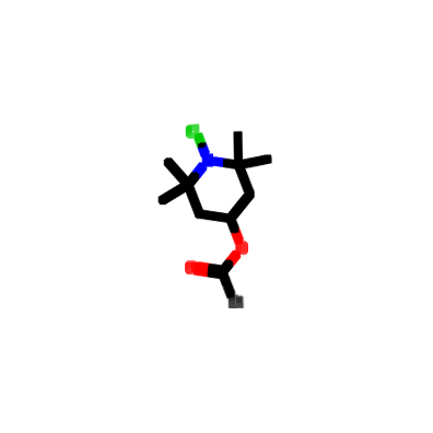 CCC(=O)OC1CC(C)(C)N(Cl)C(C)(C)C1